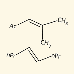 CC(=O)C=C(C)C.CCCC=CCCC